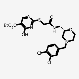 CCOC(=O)c1cnc(SCC(=O)NC[C@H]2CN(Cc3ccc(Cl)c(Cl)c3)CCO2)nc1O